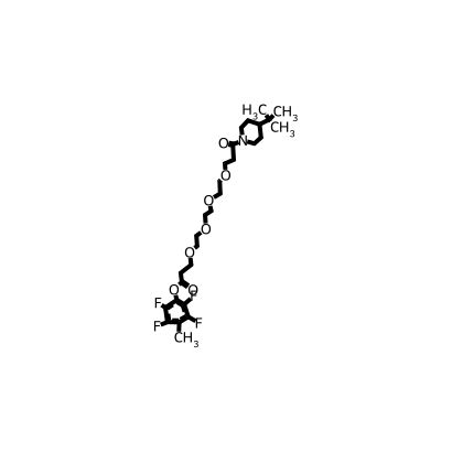 Cc1c(F)c(F)c(OC(=O)CCOCCOCCOCCOCCC(=O)N2CCC(C(C)(C)C)CC2)c(F)c1F